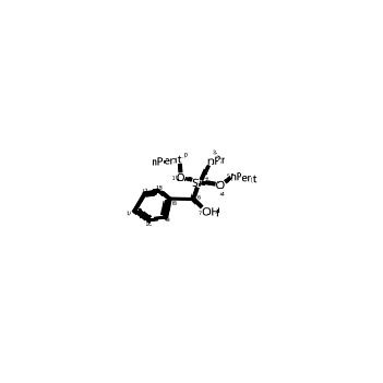 CCCCCO[Si](CCC)(OCCCCC)C(O)c1ccccc1